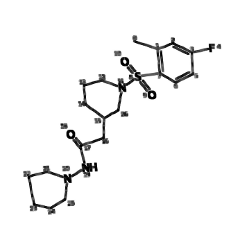 Cc1cc(F)ccc1S(=O)(=O)N1CCCC(CC(=O)NN2CCCCC2)C1